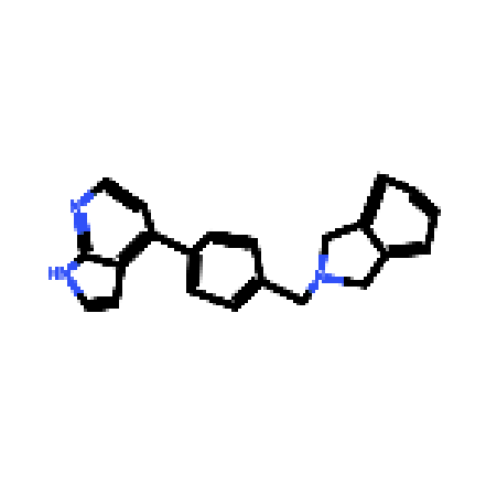 c1ccc2c(c1)CN(Cc1ccc(-c3ccnc4[nH]ccc34)cc1)C2